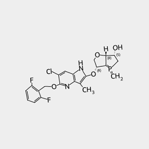 C=P1=C2[C@H](Oc3[nH]c4cc(Cl)c(OCc5c(F)cccc5F)nc4c3C)CO[C@@H]2[C@H](O)C1